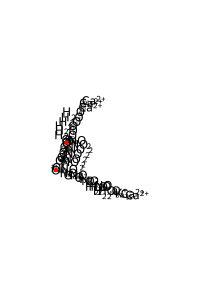 O.O.O.O.O.O.O.O.O.O.O=[N+]([O-])[O-].O=[N+]([O-])[O-].O=[N+]([O-])[O-].O=[N+]([O-])[O-].O=[N+]([O-])[O-].O=[N+]([O-])[O-].O=[N+]([O-])[O-].O=[N+]([O-])[O-].O=[N+]([O-])[O-].O=[N+]([O-])[O-].O=[N+]([O-])[O-].[Ca+2].[Ca+2].[Ca+2].[Ca+2].[Ca+2].[K+]